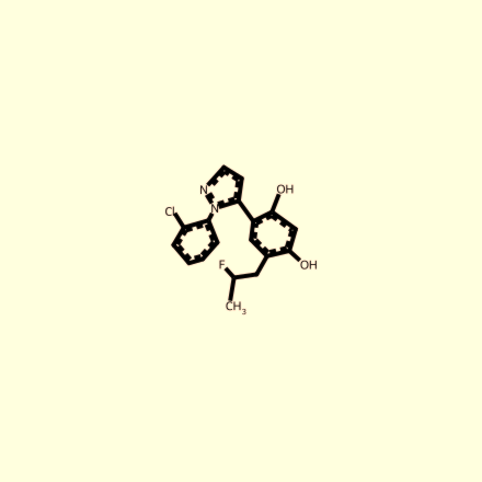 CC(F)Cc1cc(-c2ccnn2-c2ccccc2Cl)c(O)cc1O